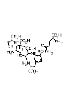 CC(O)C(N)C(=O)O.NC(=O)CC(N)C(=O)O.NC(=O)CCC(N)C(=O)O.NC(CS)C(=O)O.NC(Cc1ccc(O)cc1)C(=O)O